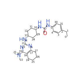 CCc1ccc(NC(=O)NC2CCC(Nc3nc4c(c(N(C)C)n3)CCCC4)CC2)cc1